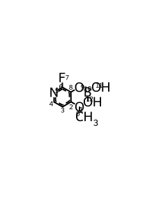 COc1ccnc(F)c1OB(O)O